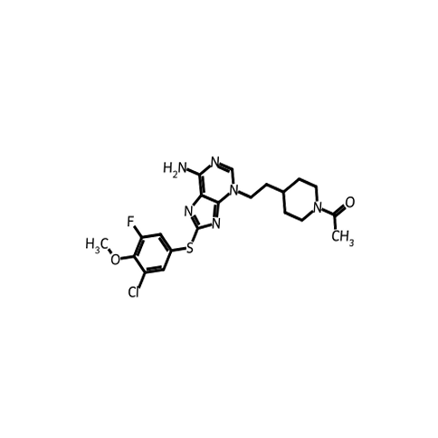 COc1c(F)cc(Sc2nc3c(N)ncn(CCC4CCN(C(C)=O)CC4)c-3n2)cc1Cl